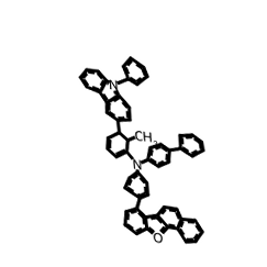 CC1C(N(c2ccc(-c3ccccc3)cc2)c2ccc(-c3cccc4oc5c6ccccc6ccc5c34)cc2)=CC=CC1c1ccc2c(c1)c1ccccc1n2-c1ccccc1